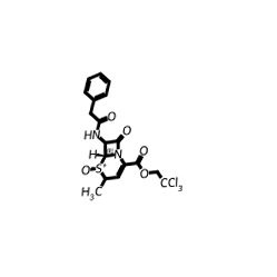 CC1C=C(C(=O)OCC(Cl)(Cl)Cl)N2C(=O)C(NC(=O)Cc3ccccc3)[C@H]2[S+]1[O-]